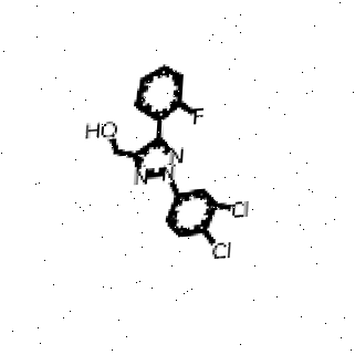 OCc1nn(-c2ccc(Cl)c(Cl)c2)nc1-c1ccccc1F